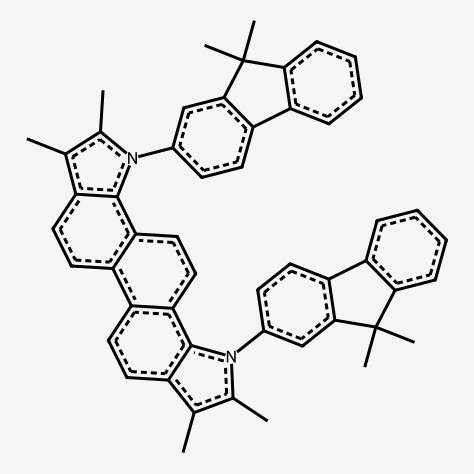 Cc1c(C)n(-c2ccc3c(c2)C(C)(C)c2ccccc2-3)c2c1ccc1c3ccc4c(C)c(C)n(-c5ccc6c(c5)C(C)(C)c5ccccc5-6)c4c3ccc12